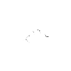 CC(=O)O[C@H]([C@H](C)Br)[C@H]1C[C@@H]2O[C@@H](CCC#N)CC[C@@H]2O1